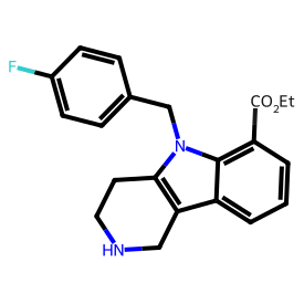 CCOC(=O)c1cccc2c3c(n(Cc4ccc(F)cc4)c12)CCNC3